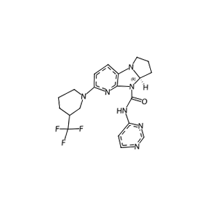 O=C(Nc1ccncn1)N1c2nc(N3CCCC(C(F)(F)F)C3)ccc2N2CCC[C@H]21